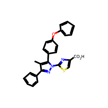 Cc1c(-c2ccccc2)nn(-c2nc(C(=O)O)cs2)c1-c1ccc(Oc2ccccc2)cc1